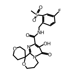 CS(=O)(=O)c1cc(F)ccc1CNC(=O)c1nc2n(c(=O)c1O)CCCOC21CCOCC1